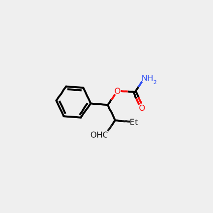 CCC(C=O)C(OC(N)=O)c1ccccc1